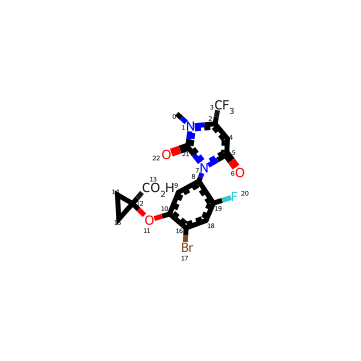 Cn1c(C(F)(F)F)cc(=O)n(-c2cc(OC3(C(=O)O)CC3)c(Br)cc2F)c1=O